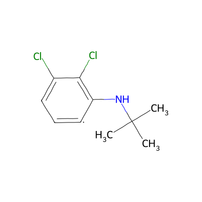 CC(C)(C)Nc1[c]ccc(Cl)c1Cl